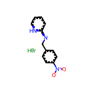 Br.O=[N+]([O-])c1ccc(CN=c2cccc[nH]2)cc1